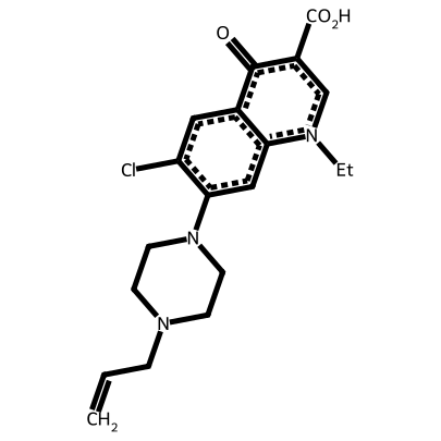 C=CCN1CCN(c2cc3c(cc2Cl)c(=O)c(C(=O)O)cn3CC)CC1